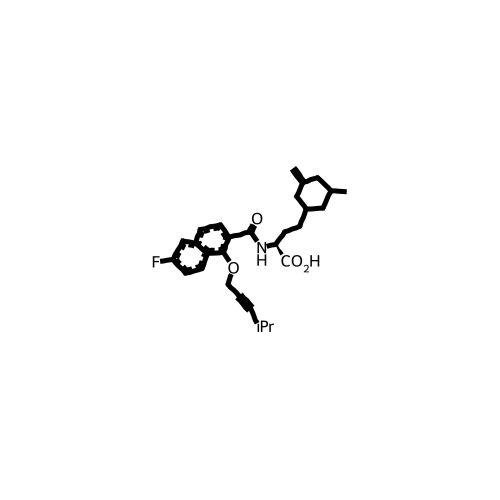 C=C1CC(C)CC(CC[C@H](NC(=O)c2ccc3cc(F)ccc3c2OCC#CC(C)C)C(=O)O)C1